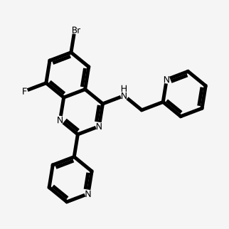 Fc1cc(Br)cc2c(NCc3ccccn3)nc(-c3cccnc3)nc12